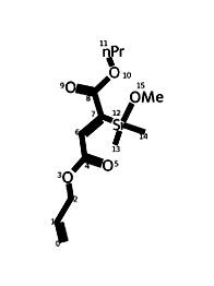 C=CCOC(=O)/C=C(/C(=O)OCCC)[Si](C)(C)OC